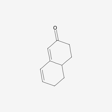 O=C1C=C2C=CCCC2CC1